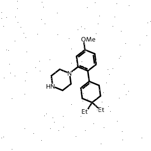 CCC1(CC)CC=C(c2ccc(OC)cc2N2CCNCC2)CC1